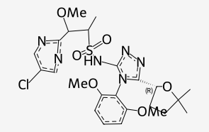 COc1cccc(OC)c1-n1c(NS(=O)(=O)C(C)C(OC)c2ncc(Cl)cn2)nnc1[C@H]1CCC(C)(C)O1